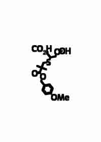 COc1ccc(COC(=O)C(C)(C)CSC(COO)CC(=O)O)cc1